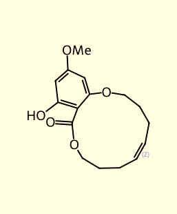 COc1cc(O)c2c(c1)OCCC/C=C\CCCOC2=O